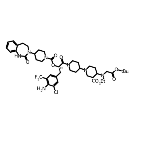 CCOC(=O)N(CC(=O)OC(C)(C)C)C1CCN(C2CCN(C(=O)[C@@H](Cc3cc(Cl)c(N)c(C(F)(F)F)c3)OC(=O)N3CCC(N4CCc5ccccc5NC4=O)CC3)CC2)CC1